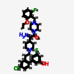 CCOc1cccc(F)c1CN1CCN(C(=O)[C@H](N)C2CCN(CCc3cc(Cl)ccc3-c3cc(O)cc(F)c3)CC2)CC1